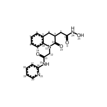 O=C(CC1Cc2ccccc2N(CC(=O)Nc2ccccn2)C1=O)NO